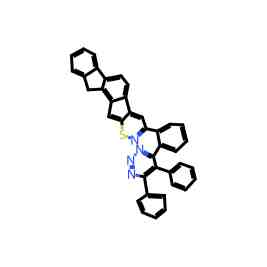 c1ccc(-c2nnnc(-c3ccccc3-c3cc4c5ccc6c(c5cc-4sn3)Cc3ccccc3-6)c2-c2ccccc2)cc1